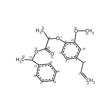 C=CCc1ccc(OC(C)C(=O)OC(C)c2ccccc2)c(OC)c1